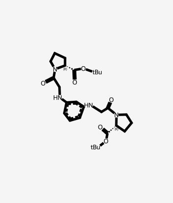 CC(C)(C)OC(=O)[C@H]1CCCN1C(=O)CNc1cccc(NCC(=O)N2CCC[C@@H]2C(=O)OC(C)(C)C)c1